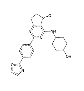 [O-][S@+]1CCc2nc(-c3ccc(-c4ncco4)cc3)nc(NC3CCC(O)CC3)c21